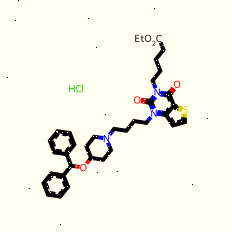 CCOC(=O)CCCCn1c(=O)c2sccc2n(CCCCN2CCC(OC(c3ccccc3)c3ccccc3)CC2)c1=O.Cl